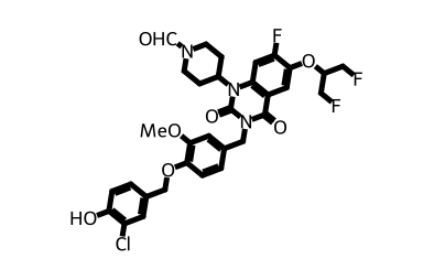 COc1cc(Cn2c(=O)c3cc(OC(CF)CF)c(F)cc3n(C3CCN(C=O)CC3)c2=O)ccc1OCc1ccc(O)c(Cl)c1